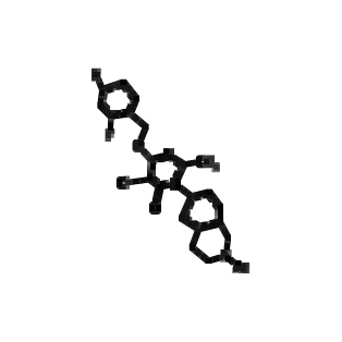 CC(=O)N1CCc2cc(-n3c(C)nc(OCc4ccc(F)cc4F)c(Cl)c3=O)ccc2C1